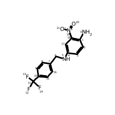 Nc1ccc(NCc2ccc(C(F)(F)F)cc2)cc1[N+](=O)[O-]